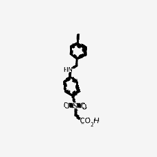 Cc1ccc(CNc2ccc(S(=O)(=O)CC(=O)O)cc2)cc1